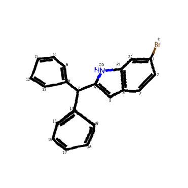 Brc1ccc2cc(C(c3ccccc3)c3ccccc3)[nH]c2c1